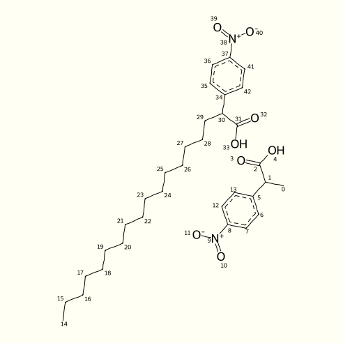 CC(C(=O)O)c1ccc([N+](=O)[O-])cc1.CCCCCCCCCCCCCCCCC(C(=O)O)c1ccc([N+](=O)[O-])cc1